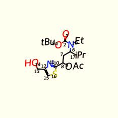 CCN(C(=O)OC(C)(C)C)C(CC(OC(C)=O)c1nc(CO)cs1)C(C)C